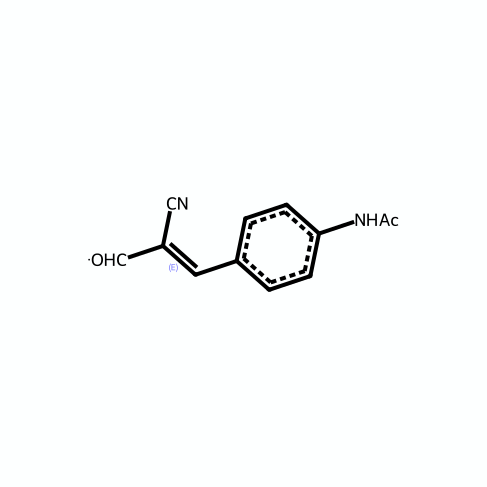 CC(=O)Nc1ccc(/C=C(/[C]=O)C#N)cc1